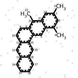 Cc1cc(C)c2cc3c(ccc4cc5ccccc5cc43)c(C)c2c1